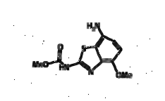 COC(=O)Nc1nc2c(OC)ccc(N)c2s1